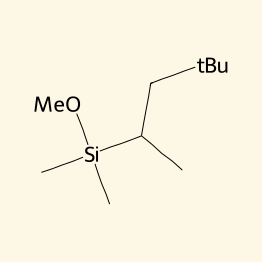 CO[Si](C)(C)C(C)CC(C)(C)C